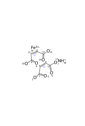 O=C([O-])/C=C\C(=O)[O-].O=C([O-])/C=C\C(=O)[O-].[Fe+3].[NH4+]